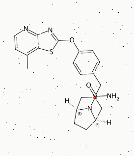 Cc1ccnc2nc(Oc3ccc(CN4C[C@H]5CC[C@@H](C4)N5C(N)=O)cc3)sc12